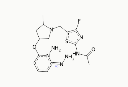 CC(=O)Nc1nc(F)c(CN2CC(Oc3ccc/c(=N/N)n3N)CC2C)s1